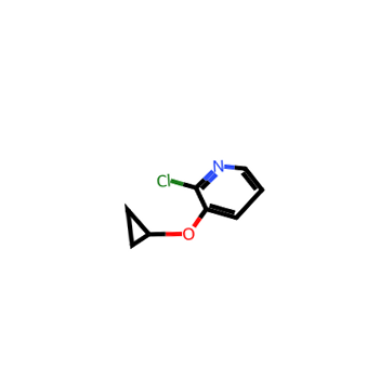 Clc1ncccc1OC1CC1